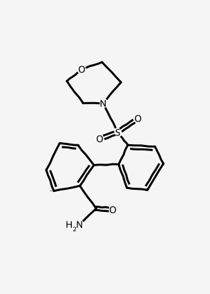 NC(=O)c1[c]cccc1-c1ccccc1S(=O)(=O)N1CCOCC1